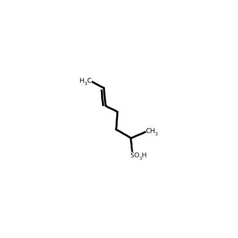 CC=CCCC(C)S(=O)(=O)O